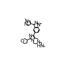 CNCN1CCn2c(C3CCOC3)nc(-c3ccc4c(c3)c(-c3cnn(C)c3)nn4C)c2C1